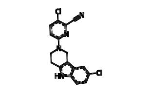 N#Cc1nc(N2CCc3[nH]c4ccc(Cl)cc4c3C2)ccc1Cl